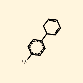 FC(F)(F)c1ccc(C2C=CC=CC2)cc1